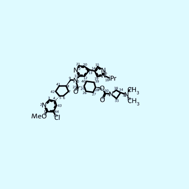 COc1ncc([C@H]2CC[C@H](CN(c3cc(-c4cnn(C(C)C)c4)ccn3)C(=O)[C@H]3CC[C@H](OC(=O)N4CC(N(C)C)C4)CC3)CC2)cc1Cl